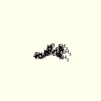 Cc1nn(C)c(OCC[C@H](C)Nc2cc(Cl)ncc2-c2ncc(CN3CCC(C4(O)CC4)CC3)cc2F)c1-c1nccc(N)n1